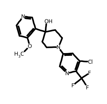 COc1ccncc1C1(O)CCN(c2cnc(C(F)(F)F)c(Cl)c2)CC1